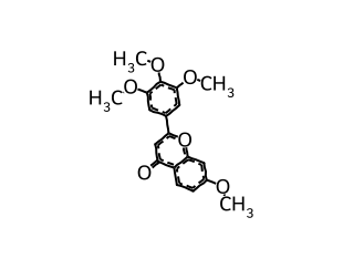 COc1ccc2c(=O)cc(-c3cc(OC)c(OC)c(OC)c3)oc2c1